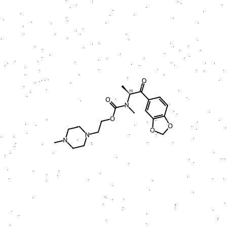 C[C@@H](C(=O)c1ccc2c(c1)OCO2)N(C)C(=O)OCCN1CCN(C)CC1